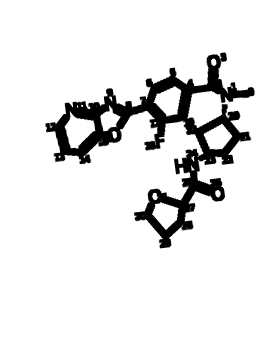 CN(C(=O)c1ccc(-c2nc3ncccc3o2)c(F)c1)[C@@H]1CC[C@H](NC(=O)C2CCCO2)C1